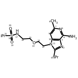 CCCc1nc2c(N)nc(C)cc2n1CCOCCNS(=O)(=O)C(C)C